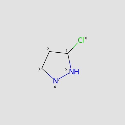 ClC1CC[N]N1